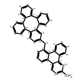 Cc1ncc2c3cccc(Cc4ccc5c(c4)-c4ccccc4-c4ccccc4-c4ccccc4-5)c3c3ccccc3c2n1